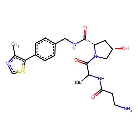 Cc1ncsc1-c1ccc(CNC(=O)[C@@H]2C[C@@H](O)CN2C(=O)C(NC(=O)CCN)C(C)(C)C)cc1